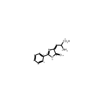 NC(C=C1N=C(c2ccccc2)OC1=O)C(=O)O